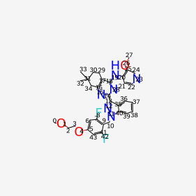 COCCOc1cc(F)c(Cn2nc(-c3nc4c(c(Nc5ccncc5OC)n3)CCC(C)(C)C4)c3ccccc32)c(F)c1